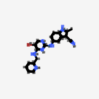 Cc1[nH]c2ccc(Nc3ncc(Br)c(NCc4ccccn4)n3)cc2c1C#N